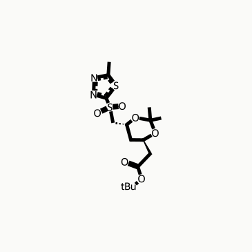 Cc1nnc(S(=O)(=O)C[C@H]2C[C@H](CC(=O)OC(C)(C)C)OC(C)(C)O2)s1